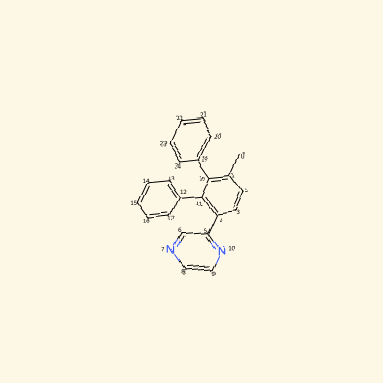 Cc1ccc(-c2cnccn2)c(-c2ccccc2)c1-c1ccccc1